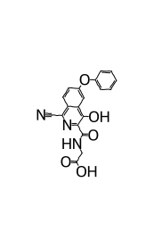 N#Cc1nc(C(=O)NCC(=O)O)c(O)c2cc(Oc3ccccc3)ccc12